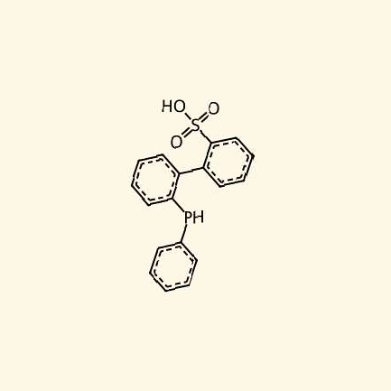 O=S(=O)(O)c1ccccc1-c1ccccc1Pc1ccccc1